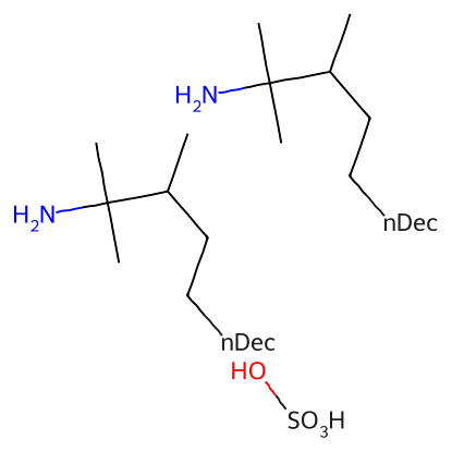 CCCCCCCCCCCCC(C)C(C)(C)N.CCCCCCCCCCCCC(C)C(C)(C)N.O=S(=O)(O)O